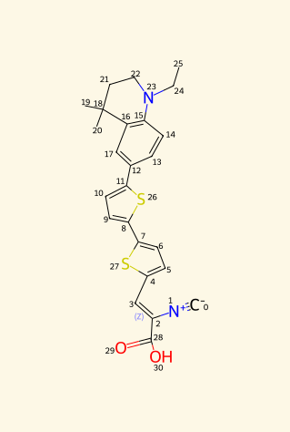 [C-]#[N+]/C(=C\c1ccc(-c2ccc(-c3ccc4c(c3)C(C)(C)CCN4CC)s2)s1)C(=O)O